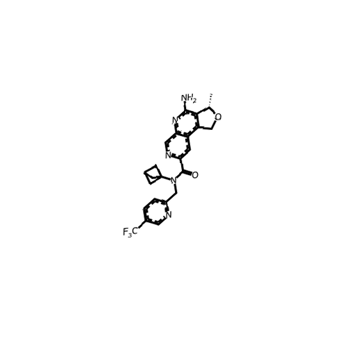 C[C@@H]1OCc2c1c(N)nc1cnc(C(=O)N(Cc3ccc(C(F)(F)F)cn3)C34CC(C3)C4)cc21